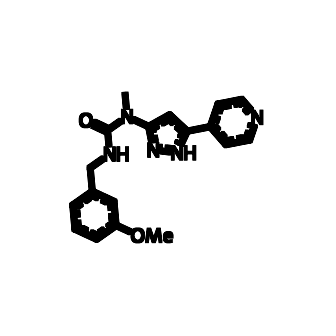 COc1cccc(CNC(=O)N(C)c2cc(-c3ccncc3)[nH]n2)c1